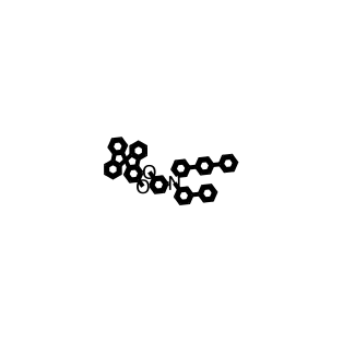 c1ccc(-c2ccc(-c3cccc(N(c4cccc(-c5ccccc5)c4)c4ccc5c(c4)Oc4c(ccc6c4-c4ccccc4C64c6ccccc6-c6ccccc64)O5)c3)cc2)cc1